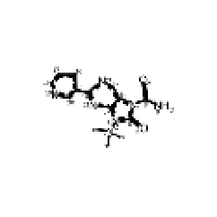 C[N+](C)(C)n1c(=O)n(C(N)=O)c2cnc(-c3cccnc3)nc21